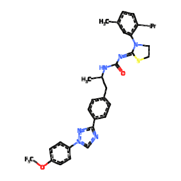 Cc1ccc(C(C)C)c(N2CCS/C2=N\C(=O)NC(C)Cc2ccc(-c3ncn(-c4ccc(OC(F)(F)F)cc4)n3)cc2)c1